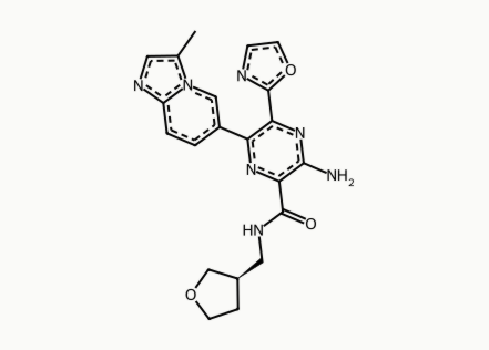 Cc1cnc2ccc(-c3nc(C(=O)NC[C@H]4CCOC4)c(N)nc3-c3ncco3)cn12